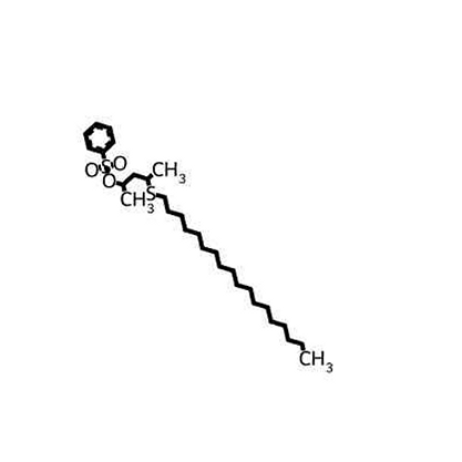 CCCCCCCCCCCCCCCCCCSC(C)CC(C)OS(=O)(=O)c1ccccc1